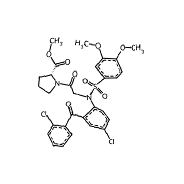 COC(=O)[C@H]1CCCN1C(=O)CN(c1ccc(Cl)cc1C(=O)c1ccccc1Cl)S(=O)(=O)c1ccc(OC)c(OC)c1